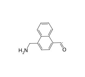 NCc1ccc([C]=O)c2ccccc12